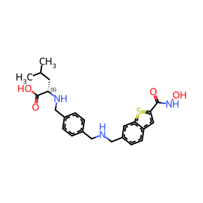 CC(C)C[C@H](NCc1ccc(CNCc2ccc3cc(C(=O)NO)sc3c2)cc1)C(=O)O